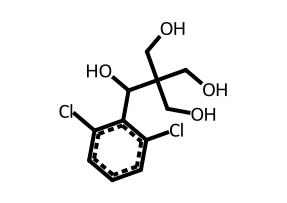 OCC(CO)(CO)C(O)c1c(Cl)cccc1Cl